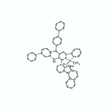 CC1(C)c2ccccc2-c2cc3c(c(-c4cccc5c4[nH]c4ccc6ccccc6c45)c21)Bc1cc(-c2ccccc2)ccc1N3c1ccc(-c2ccccc2)cc1